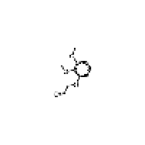 COc1cccc(OCC=O)c1OC